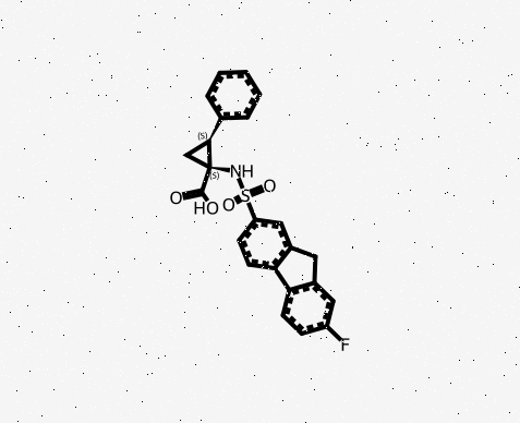 O=C(O)[C@]1(NS(=O)(=O)c2ccc3c(c2)Cc2cc(F)ccc2-3)C[C@H]1c1ccccc1